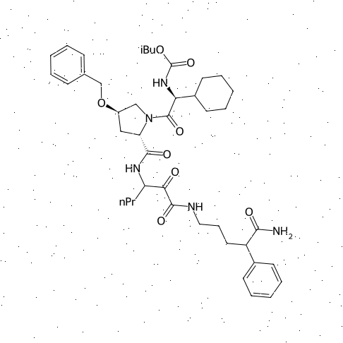 CCCC(NC(=O)[C@@H]1C[C@@H](OCc2ccccc2)CN1C(=O)[C@@H](NC(=O)OCC(C)C)C1CCCCC1)C(=O)C(=O)NCCCC(C(N)=O)c1ccccc1